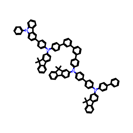 CC1(C)c2ccccc2-c2ccc(N(c3ccc(-c4ccccc4)cc3)c3ccc(-c4ccc(N(c5ccc(-c6cccc(-c7cccc(-c8ccc(N(c9ccc(-c%10ccc%11c(c%10)c%10ccccc%10n%11-c%10ccccc%10)cc9)c9ccc%10c(c9)C(C)(C)c9ccccc9-%10)cc8)c7)c6)cc5)c5ccc6c(c5)C(C)(C)c5ccccc5-6)cc4)cc3)cc21